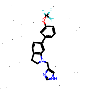 FC(F)(F)Oc1cccc(-c2ccc3c(c2)N(Cc2c[nH]cn2)CC3)c1